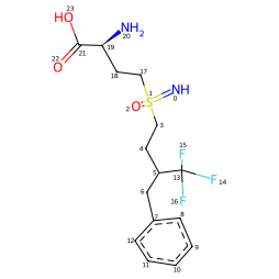 N=S(=O)(CCC(Cc1ccccc1)C(F)(F)F)CC[C@H](N)C(=O)O